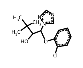 CC(C)(C)C(O)C(Oc1ccccc1Cl)n1cncn1